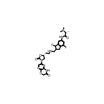 C[C@H](C(=O)Nc1cc(F)c2c(c1)C(F)C(CNCC[C@@H]1CN(c3cnc4c(n3)NC(=O)CO4)C(=O)O1)C2)N(C)C